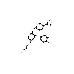 CCOCCSc1cnc(Nc2ccc(-c3nnn[nH]3)cn2)c(Oc2ccc(F)c(F)c2)c1